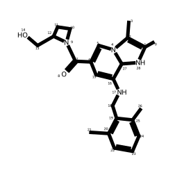 CC1=C(C)N2C=C(C(=O)N3CCC3CO)C=C(NCc3c(C)cccc3C)C2N1